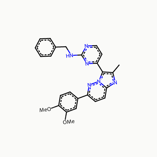 COc1ccc(-c2ccc3nc(C)c(-c4ccnc(NCc5ccccc5)n4)n3n2)cc1OC